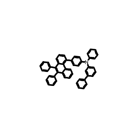 c1ccc(-c2cccc(N(c3ccccc3)c3ccc(-c4cccc5c(-c6ccccc6)c(-c6ccccc6)c6ccccc6c45)cc3)c2)cc1